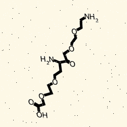 NCCOCCOCC(=O)C(N)CCOCCOCC(=O)O